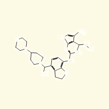 CC(C)NC1NC(Nc2ccc(C(O)N3CCC(N4CCOCC4)CC3)c3c2OCC3)=Nc2[nH]cc(C(F)(F)F)c21